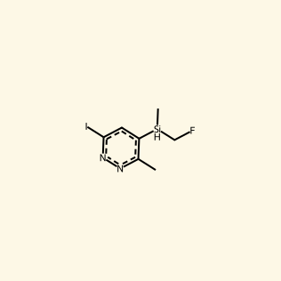 Cc1nnc(I)cc1[SiH](C)CF